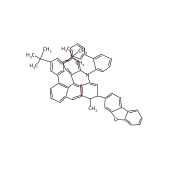 CC1C=CC(N(c2ccccc2-c2ccccc2)c2ccccc2-c2cccc3cccc(-c4cc(C(C)(C)C)cc(C(C)(C)C)c4)c23)=CC1c1ccc2c(c1)oc1ccccc12